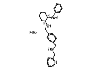 Br.c1ccc(N[C@@H]2CCCC[C@@H]2NCc2ccc(CNCc3ccccn3)cc2)cc1